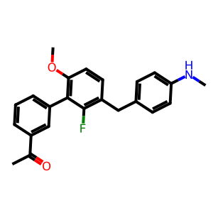 CNc1ccc(Cc2ccc(OC)c(-c3cccc(C(C)=O)c3)c2F)cc1